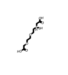 O=C(O)COCCOCC[SH](S)CC(=O)O